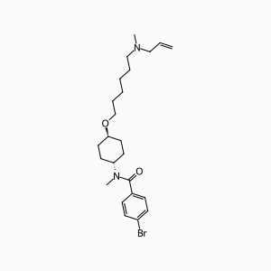 C=CCN(C)CCCCCCO[C@H]1CC[C@H](N(C)C(=O)c2ccc(Br)cc2)CC1